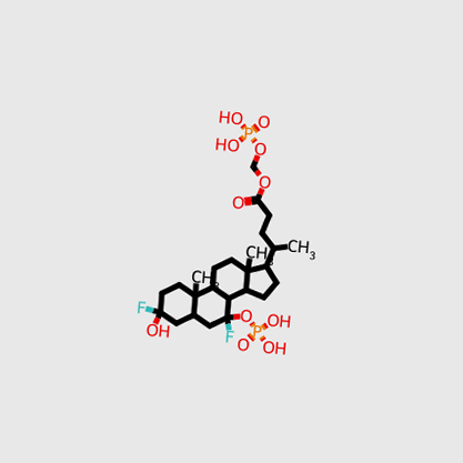 CC(CCC(=O)OCOP(=O)(O)O)C1CCC2C3C(CCC12C)C1(C)CCC(O)(F)CC1CC3(F)OP(=O)(O)O